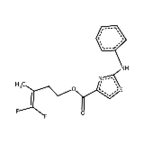 CC(CCOC(=O)c1csc(Nc2ccccc2)n1)=C(F)F